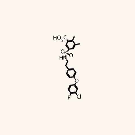 Cc1cc(S(=O)(=O)NCCc2ccc(Oc3ccc(F)c(Cl)c3)cc2)cc(C(=O)O)c1C